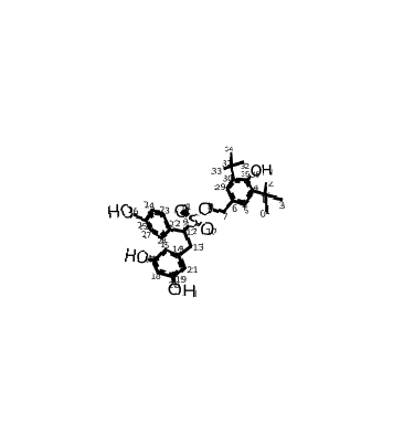 CC(C)(C)c1cc(COS(=O)(=O)C(Cc2cc(O)cc(O)c2)c2ccc(O)cc2)cc(C(C)(C)C)c1O